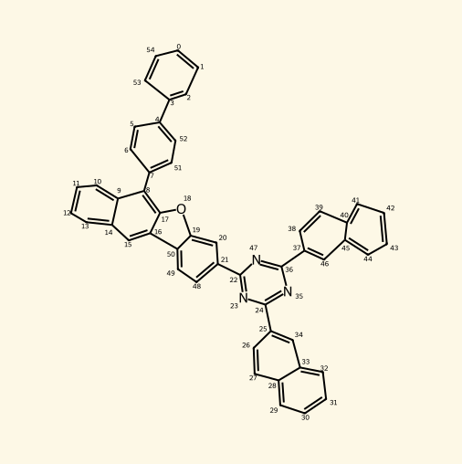 c1ccc(-c2ccc(-c3c4ccccc4cc4c3oc3cc(-c5nc(-c6ccc7ccccc7c6)nc(-c6ccc7ccccc7c6)n5)ccc34)cc2)cc1